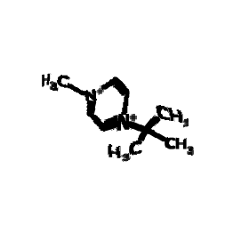 C[n+]1cc[n+](C(C)(C)C)cc1